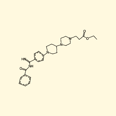 CCOC(=O)CCN1CCN(C2CCN(c3ccc(C(=N)NC(=O)c4ccccc4)cc3)CC2)CC1